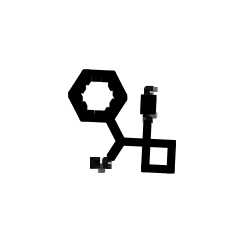 [C-]#[N+]C1(C(C)c2ccccc2)CCC1